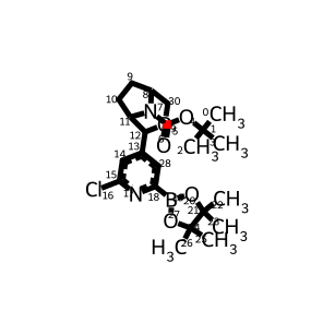 CC(C)(C)OC(=O)N1C2CCC1C(c1cc(Cl)nc(B3OC(C)(C)C(C)(C)O3)c1)OC2